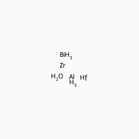 O.[AlH3].[BiH3].[Hf].[Zr]